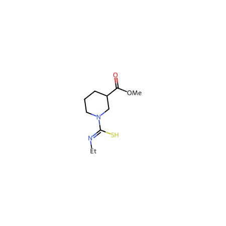 CC/N=C(\S)N1CCCC(C(=O)OC)C1